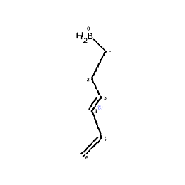 BCC/C=C/C=C